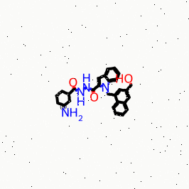 N[C@@H]1CCCC(C(=O)NNC(=O)c2cc3ccccc3n2Cc2cc(CO)cc3ccccc23)C1